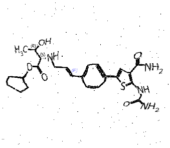 C[C@@H](O)[C@H](NC/C=C/c1ccc(-c2cc(C(N)=O)c(NC(N)=O)s2)cc1)C(=O)OC1CCCC1